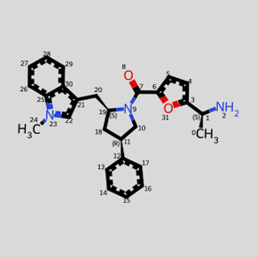 C[C@H](N)c1ccc(C(=O)N2C[C@@H](c3ccccc3)C[C@H]2Cc2cn(C)c3ccccc23)o1